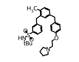 Cc1ccc(Cc2ccc(OCCN3CCCC3)cc2)cc1Cc1cccc(S(=O)(=O)NC(C)(C)C)c1